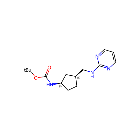 CC(C)(C)OC(=O)N[C@@H]1CC[C@H](CNc2ncccn2)C1